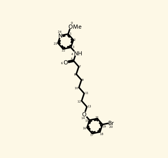 COc1cc(NC(=O)CCCCCCCOc2cccc(Br)c2)ccn1